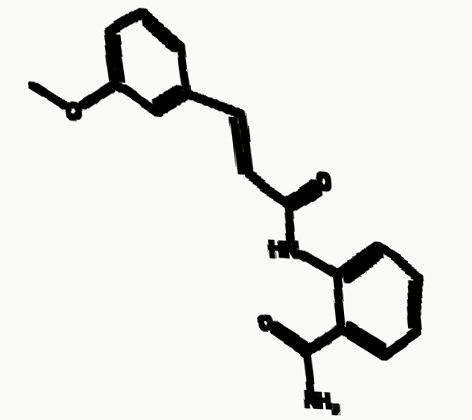 COc1cccc(C=CC(=O)Nc2ccccc2C(N)=O)c1